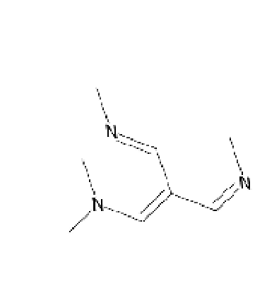 C\N=C/C(/C=N/C)=C/N(C)C